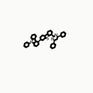 c1ccc(-c2cc(-c3ccccc3)nc(-c3cccc4c3sc3cc(-c5cccc6c5c5ccccc5n6-c5ccccc5)ccc34)n2)cc1